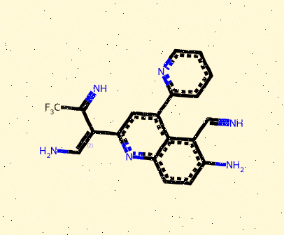 N=Cc1c(N)ccc2nc(/C(=C/N)C(=N)C(F)(F)F)cc(-c3ccccn3)c12